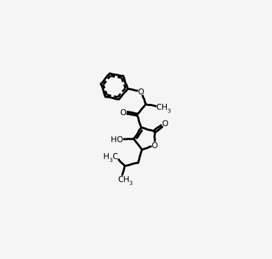 CC(C)CC1OC(=O)C(C(=O)C(C)Oc2ccccc2)=C1O